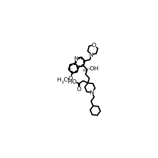 COc1ccc2ncc(CN3CCOCC3)c([C@H](O)CCC3(CC(=O)O)CCN(CCC4CCCCC4)CC3)c2c1